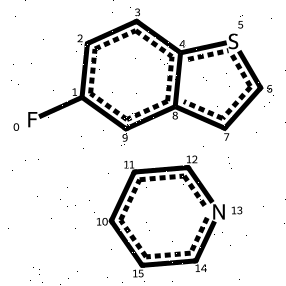 Fc1ccc2sccc2c1.c1ccncc1